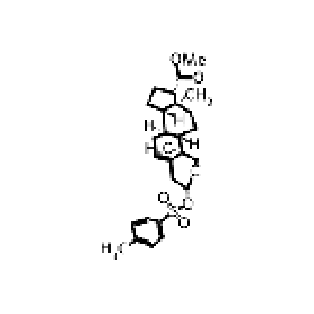 COC(=O)[C@H]1CC[C@H]2[C@@H]3CC=C4C[C@@H](OS(=O)(=O)c5ccc(C)cc5)CC[C@]4(C)[C@H]3CC[C@]12C